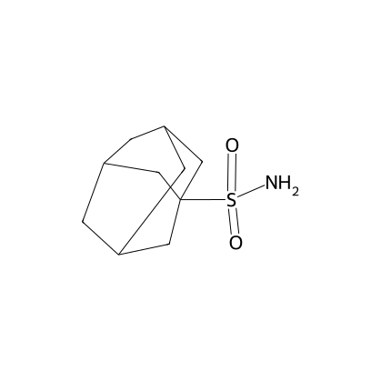 NS(=O)(=O)C12CC3CC(CC(C3)C1)C2